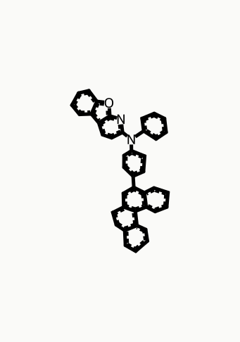 c1ccc(N(c2ccc(-c3cc4ccc5ccccc5c4c4ccccc34)cc2)c2ccc3c(n2)oc2ccccc23)cc1